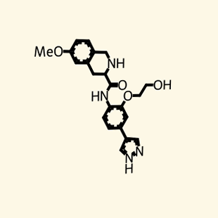 COc1ccc2c(c1)CC(C(=O)Nc1ccc(-c3cn[nH]c3)cc1OCCO)NC2